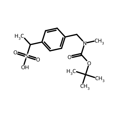 CC(c1ccc(CN(C)C(=O)OC(C)(C)C)cc1)S(=O)(=O)O